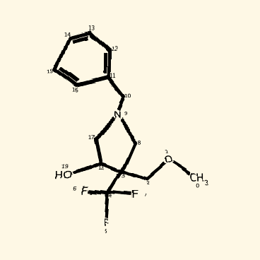 COCC1(C(F)(F)F)CN(Cc2ccccc2)CC1O